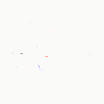 CCO[C@@H]1[C@@H](OC)O[C@H](COC(=O)C(C)(C)C)[C@@H](OCc2ccc(OC)cc2)[C@H]1NS(=O)(=O)[O-].[Na+]